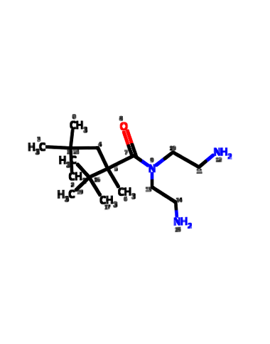 CC(C)(C)CC(C)(C(=O)N(CCN)CCN)C(C)(C)C